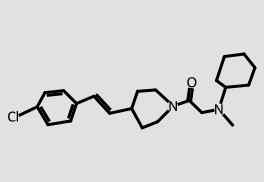 CN(CC(=O)N1CCC(C=Cc2ccc(Cl)cc2)CC1)C1CCCCC1